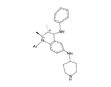 CC(=O)N1c2ccc(NC3CCNCC3)cc2C(Nc2ccccc2)[C@@H](C)[C@@H]1C